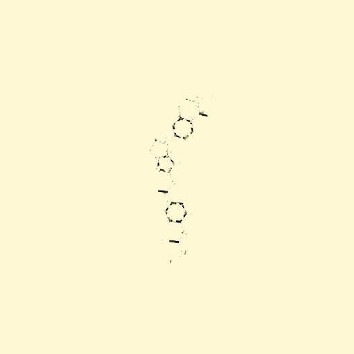 CC(C)NC(=O)Nc1ccc(C(=O)Nc2cc3n(n2)CCN3c2ccc3c(c2)CCN(C)C3=O)cc1